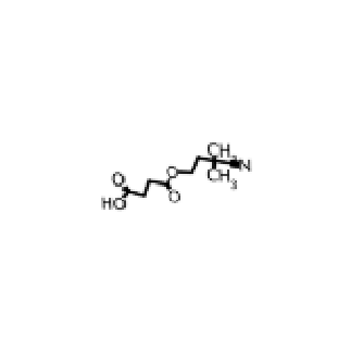 CC(C)(C#N)CCOC(=O)CCC(=O)O